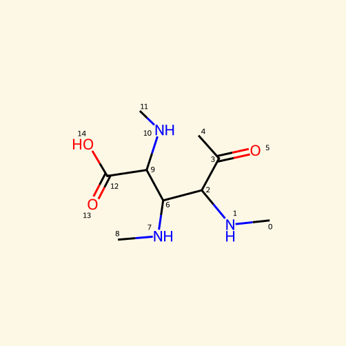 CNC(C(C)=O)C(NC)C(NC)C(=O)O